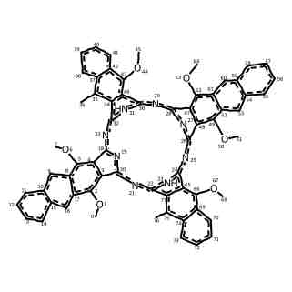 COc1c2c(c(OC)c3cc4ccccc4cc13)-c1nc-2nc2[nH]c(nc3nc(nc4[nH]c(n1)c1c(C)c5ccccc5c(OC)c41)-c1c-3c(OC)c3cc4ccccc4cc3c1OC)c1c(OC)c3ccccc3c(C)c21